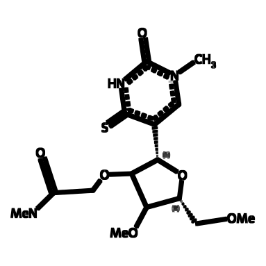 CNC(=O)COC1C(OC)[C@@H](COC)O[C@H]1c1cn(C)c(=O)[nH]c1=S